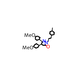 COc1ccc(-c2cc(=O)n(CC=Cc3ccc(C)cc3)nc2-c2ccc(OC)cc2)cc1